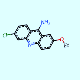 CCOc1ccc2nc3cc(Cl)ccc3c(N)c2c1